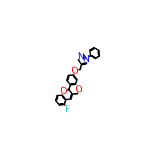 O=C1C(=Cc2ccccc2F)COc2cc(OCc3cnn(-c4ccccc4)c3)ccc21